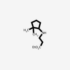 CCOC(=O)CCNC1CCCC1(C)C